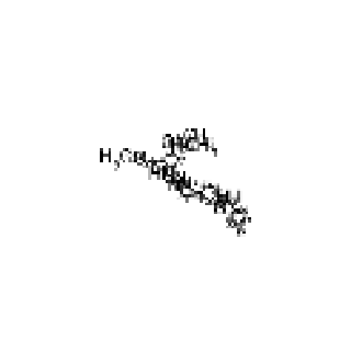 CCOCCOc1cc(C(=O)N(CC)CC)ccc1Nc1nc2ccc(-c3ccc(NC(=O)Cc4ccc(F)cc4)cc3)cn2n1